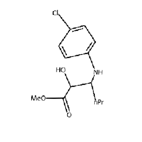 CCCC(Nc1ccc(Cl)cc1)C(O)C(=O)OC